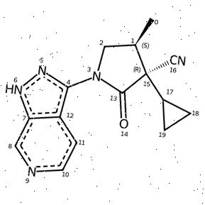 C[C@@H]1CN(c2n[nH]c3cnccc23)C(=O)[C@]1(C#N)C1CC1